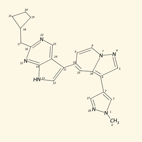 Cn1cc(-c2cnn3ccc(-c4c[nH]c5nc(CC6CCC6)ncc45)cc23)cn1